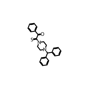 O=C(C(=S)N1CCN(C(c2ccccc2)c2ccccc2)CC1)c1ccccc1